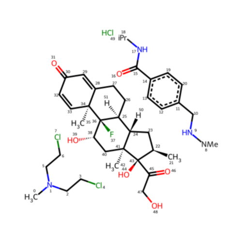 CN(CCCl)CCCl.CNNCc1ccc(C(=O)NC(C)C)cc1.C[C@@H]1C[C@H]2[C@@H]3CCC4=CC(=O)C=C[C@]4(C)[C@@]3(F)[C@@H](O)C[C@]2(C)[C@@]1(O)C(=O)CO.Cl